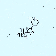 [2H]C([2H])([2H])c1nsc([C@@H]2CCCNC2)n1